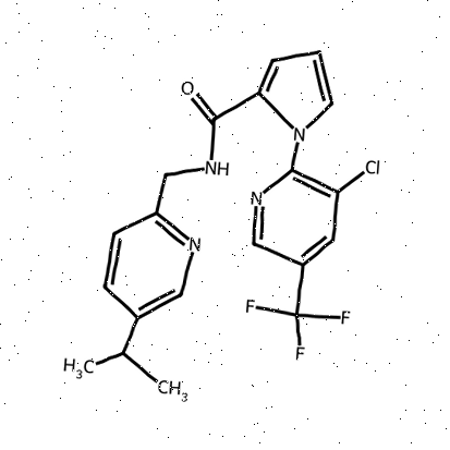 CC(C)c1ccc(CNC(=O)c2cccn2-c2ncc(C(F)(F)F)cc2Cl)nc1